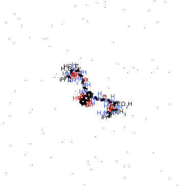 CC(C)C[C@H](NC(=O)[C@H](C)NC(=O)[C@H](CC(=O)O)NC(=O)CNC(=O)CNCCNc1ccc(NCCNCC(=O)NCC(=O)N[C@@H](CC(=O)O)C(=O)N[C@@H](C)C(=O)N[C@@H](CC(C)C)C(N)=O)c2c1C(=O)c1c(O)ccc(O)c1C2=O)C(N)=O